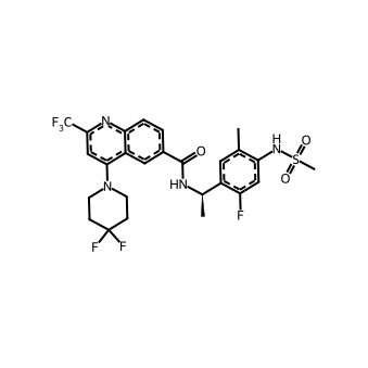 Cc1cc([C@@H](C)NC(=O)c2ccc3nc(C(F)(F)F)cc(N4CCC(F)(F)CC4)c3c2)c(F)cc1NS(C)(=O)=O